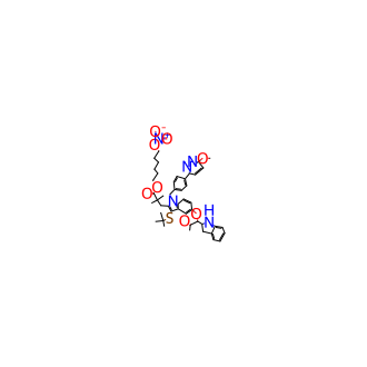 COc1ccc(-c2ccc(Cn3c(CC(C)(C)C(=O)OCCCCCCO[N+](=O)[O-])c(SC(C)(C)C)c4cc(O[C@H](C(C)=O)C5Cc6ccccc6N5)ccc43)cc2)nn1